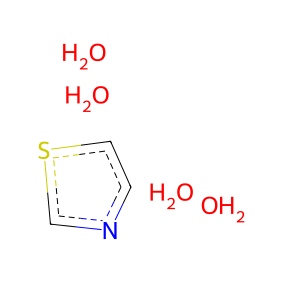 O.O.O.O.c1cscn1